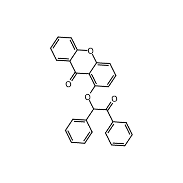 O=C(c1ccccc1)C(Oc1cccc2oc3ccccc3c(=O)c12)c1ccccc1